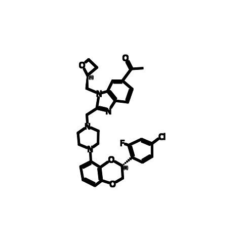 CC(=O)c1ccc2nc(CN3CCN(c4cccc5c4O[C@H](c4ccc(Cl)cc4F)CO5)CC3)n(C[C@@H]3CCO3)c2c1